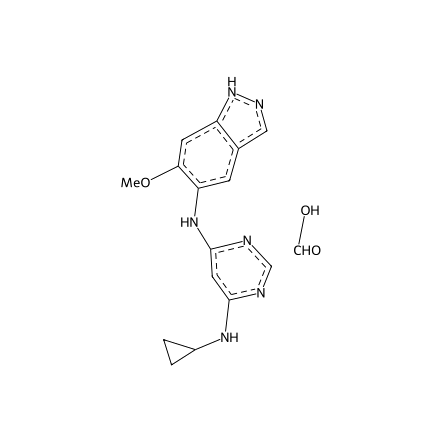 COc1cc2[nH]ncc2cc1Nc1cc(NC2CC2)ncn1.O=CO